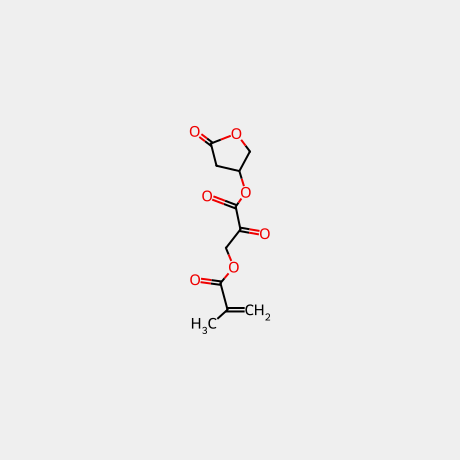 C=C(C)C(=O)OCC(=O)C(=O)OC1COC(=O)C1